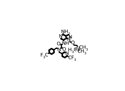 C[Si](C)(C)CCOCn1ncc2c(N)ncc(NC(=O)C(=O)N(Cc3ccc(C(F)(F)F)cc3)Cc3ccc(C(F)(F)F)nc3)c21